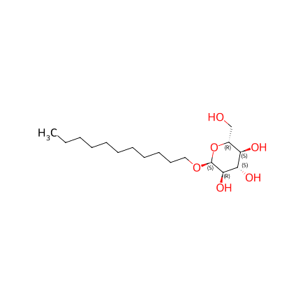 CCCCCCCCCCCO[C@H]1O[C@H](CO)[C@@H](O)[C@H](O)[C@H]1O